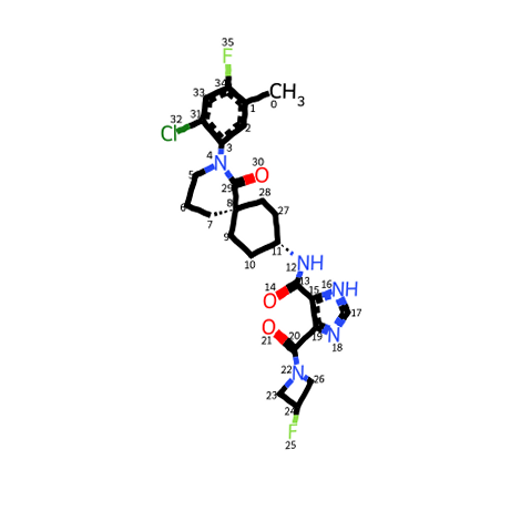 Cc1cc(N2CCC[C@]3(CC[C@@H](NC(=O)c4[nH]cnc4C(=O)N4CC(F)C4)CC3)C2=O)c(Cl)cc1F